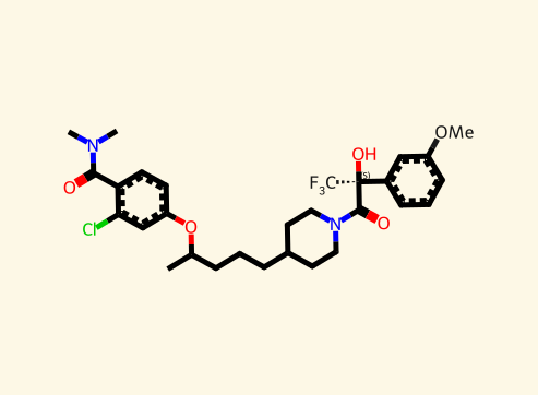 COc1cccc([C@](O)(C(=O)N2CCC(CCCC(C)Oc3ccc(C(=O)N(C)C)c(Cl)c3)CC2)C(F)(F)F)c1